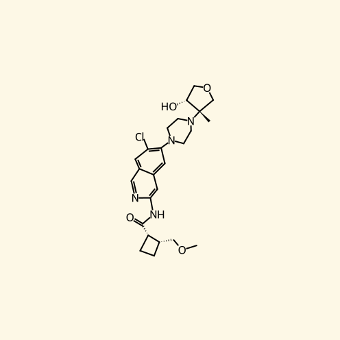 COC[C@@H]1CC[C@@H]1C(=O)Nc1cc2cc(N3CCN([C@@]4(C)COC[C@H]4O)CC3)c(Cl)cc2cn1